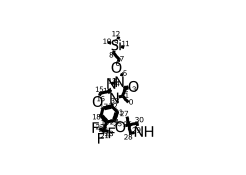 CC1C(=O)N(COCC[Si](C)(C)C)N=C2COc3cc(C(F)(F)F)c(OC4(C)CNC4)cc3N21